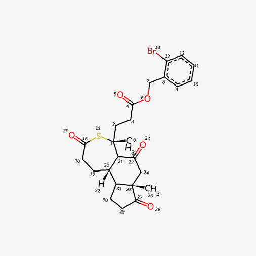 C[C@]1(CCC(=O)OCc2ccccc2Br)SC(=O)CC[C@@H]2C1C(=O)C[C@]1(C)C(=O)CCC21